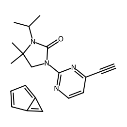 C#Cc1ccnc(N2CC(C)(C)N(C(C)C)C2=O)n1.c1cc2cc-2c1